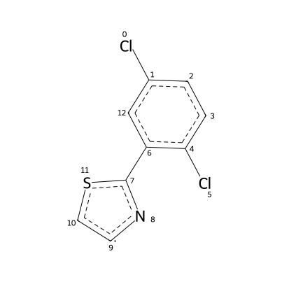 Clc1ccc(Cl)c(-c2n[c]cs2)c1